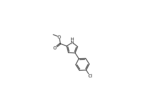 COC(=O)c1cc(-c2ccc(Cl)cc2)c[nH]1